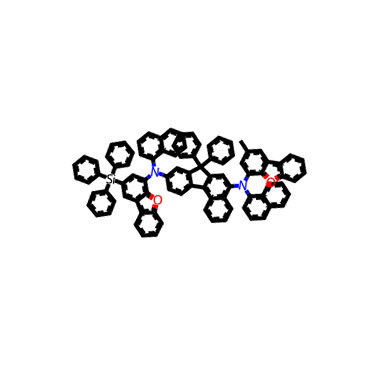 Cc1cc(N(c2cccc3ccccc23)c2cc3c(c4ccccc24)-c2ccc(N(c4cccc5ccccc45)c4cc([Si](c5ccccc5)(c5ccccc5)c5ccccc5)cc5c4oc4ccccc45)cc2C3(c2ccccc2)c2ccccc2)c2oc3ccccc3c2c1